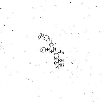 Cc1c(CN2CCN([S+](C)[O-])CC2)cc2c(N3CCOCC3)nc(-c3cnc(NC(=O)NC(C)C)cc3C(F)(F)F)nn12